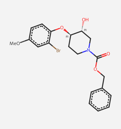 COc1ccc(O[C@@H]2CCN(C(=O)OCc3ccccc3)C[C@H]2O)c(Br)c1